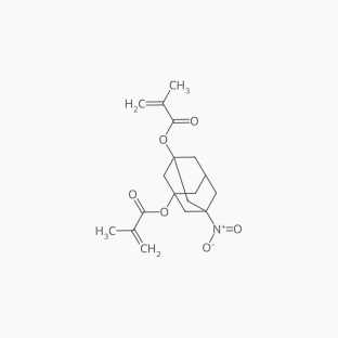 C=C(C)C(=O)OC12CC3CC(OC(=O)C(=C)C)(C1)CC([N+](=O)[O-])(C3)C2